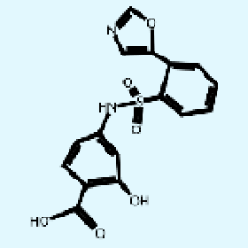 O=C(O)c1ccc(NS(=O)(=O)c2ccccc2-c2cnco2)cc1O